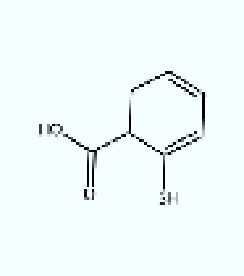 O=C(O)C1CC=CC=C1S